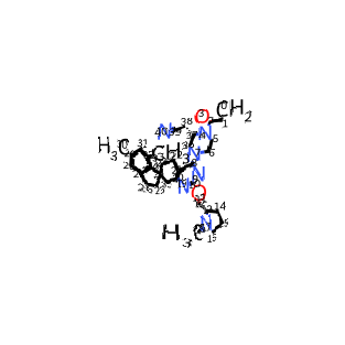 C=CC(=O)N1CCN(c2nc(OC[C@@H]3CCCN3C)nc3c2CCC2(CCc4cc(C)cc(C)c42)C3)C[C@@H]1CC#N